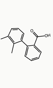 Cc1cccc(-c2ccccc2C(=O)O)c1C